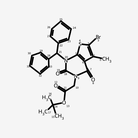 Cc1c(Br)sc2c1c(=O)n(CC(=O)OC(C)(C)C)c(=O)n2C(c1ccccc1)c1ccccc1